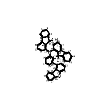 CC1(C)c2ccccc2-c2cccc(N(c3cccc(-c4cccc5oc6ccccc6c45)c3)c3cccc4c3C(C)(C)c3ccccc3-4)c21